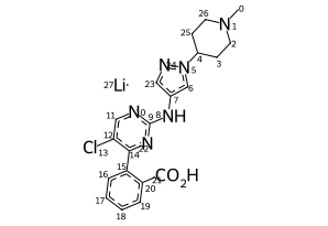 CN1CCC(n2cc(Nc3ncc(Cl)c(-c4ccccc4C(=O)O)n3)cn2)CC1.[Li]